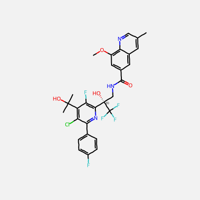 COc1cc(C(=O)NC[C@](O)(c2nc(-c3ccc(F)cc3)c(Cl)c(C(C)(C)O)c2F)C(F)(F)F)cc2cc(C)cnc12